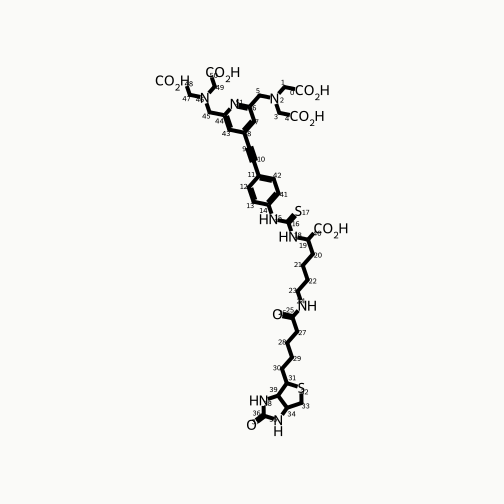 O=C(O)CN(CC(=O)O)Cc1cc(C#Cc2ccc(NC(=S)NC(CCCCNC(=O)CCCCC3SCC4NC(=O)NC43)C(=O)O)cc2)cc(CN(CC(=O)O)CC(=O)O)n1